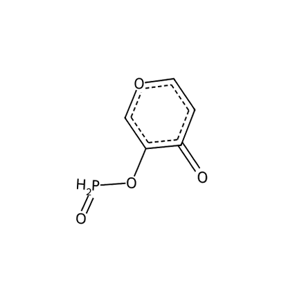 O=[PH2]Oc1coccc1=O